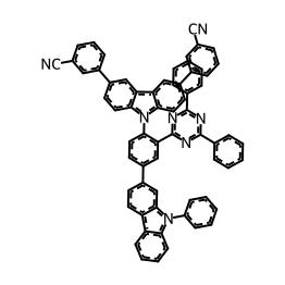 N#Cc1cccc(-c2ccc3c(c2)c2cc(-c4cccc(C#N)c4)ccc2n3-c2ccc(-c3ccc4c5ccccc5n(-c5ccccc5)c4c3)cc2-c2nc(-c3ccccc3)nc(-c3ccccc3)n2)c1